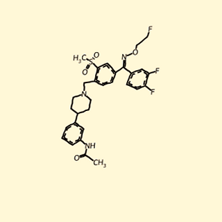 CC(=O)Nc1cccc(C2CCN(Cc3ccc(/C(=N/OCCF)c4ccc(F)c(F)c4)cc3S(C)(=O)=O)CC2)c1